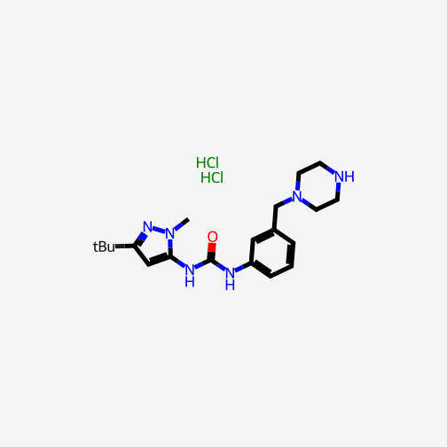 Cl.Cl.Cn1nc(C(C)(C)C)cc1NC(=O)Nc1cccc(CN2CCNCC2)c1